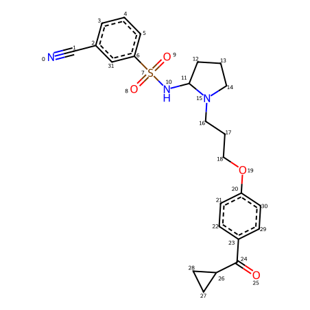 N#Cc1cccc(S(=O)(=O)NC2CCCN2CCCOc2ccc(C(=O)C3CC3)cc2)c1